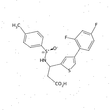 Cc1ccc([S@@+]([O-])NC(CC(=O)O)c2cc(-c3ccc(F)cc3F)cs2)cc1